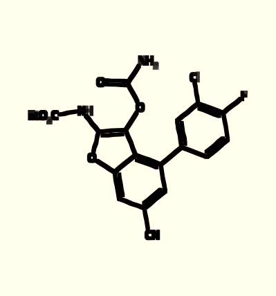 CCOC(=O)Nc1oc2cc(C#N)cc(-c3ccc(F)c(Cl)c3)c2c1OC(N)=O